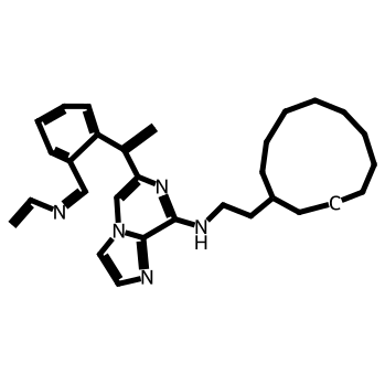 C=C/N=C\c1ccccc1C(=C)c1cn2ccnc2c(NCCC2CCCCCCCCCC2)n1